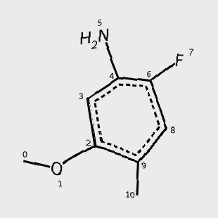 COc1cc(N)c(F)cc1C